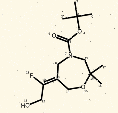 CC(C)(C)OC(=O)N1C/C(=C(\F)CO)COC(C)(C)C1